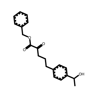 CC(O)c1ccc(CCCC(=O)C(=O)OCc2ccccc2)cc1